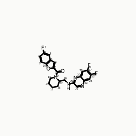 O=C(c1cc2cc(F)ccc2o1)N1CCCCC1CNc1cnc2cc(F)c(F)cc2n1